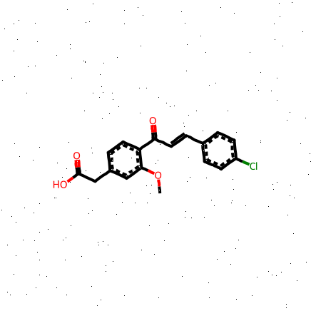 COc1cc(CC(=O)O)ccc1C(=O)C=Cc1ccc(Cl)cc1